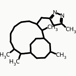 CC1=NN=C(CC2CCCCCC(C)C(C)C3CCC(C)CC(CC3)C2C)C1